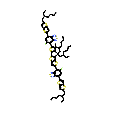 CCCCC(CC)Cc1cc2sc(-c3cc(F)c(-c4cc5c(s4)-c4sc6cc(-c7c(F)cc(-c8cc9sc(CC(CC)CCCC)cc9s8)c8nsnc78)sc6c4[Si]5(CC(CC)CCCC)CC(CC)CCCC)c4nsnc34)cc2s1